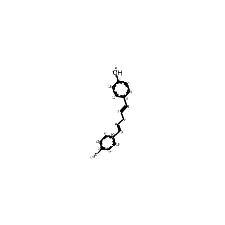 Oc1ccc(/C=C/C/C=C/c2ccc(F)cc2)cc1